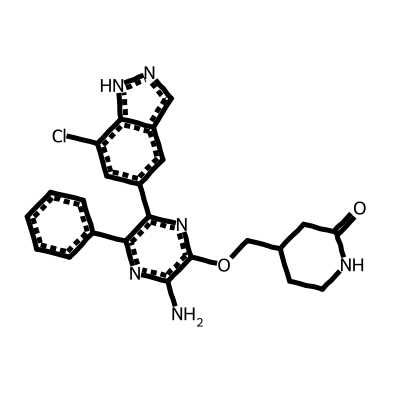 Nc1nc(-c2ccccc2)c(-c2cc(Cl)c3[nH]ncc3c2)nc1OCC1CCNC(=O)C1